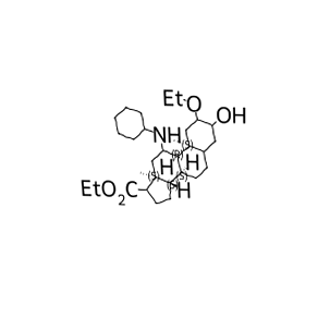 CCOC(=O)C1CC[C@H]2[C@@H]3CCC4CC(O)C(OCC)C[C@]4(C)[C@@H]3C(NC3CCCCC3)C[C@]12C